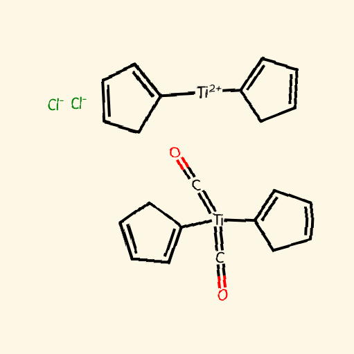 C1=CC[C]([Ti+2][C]2=CC=CC2)=C1.O=[C]=[Ti](=[C]=O)([C]1=CC=CC1)[C]1=CC=CC1.[Cl-].[Cl-]